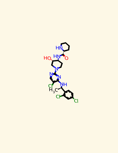 C[C@@H](Nc1nc(N2CC[C@H](NC(=O)[C@H]3CCCCN3)[C@@H](O)C2)ncc1Cl)c1ccc(Cl)cc1Cl